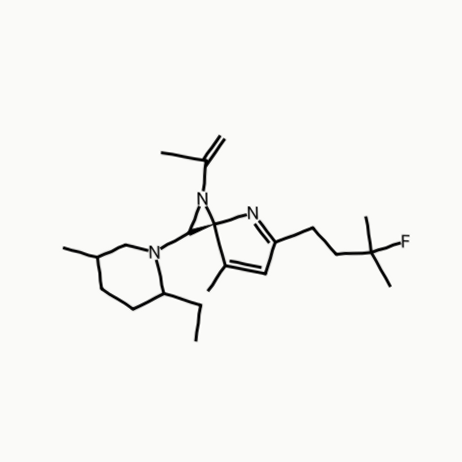 C=C(C)N1C(N2CC(C)CCC2CC)[C@]12N=C(CCC(C)(C)F)C=C2C